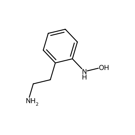 NCCc1ccccc1NO